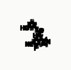 Cn1cncc1C(CNC(=O)CCc1cccc(O)c1)c1ccc(C#N)c(F)c1